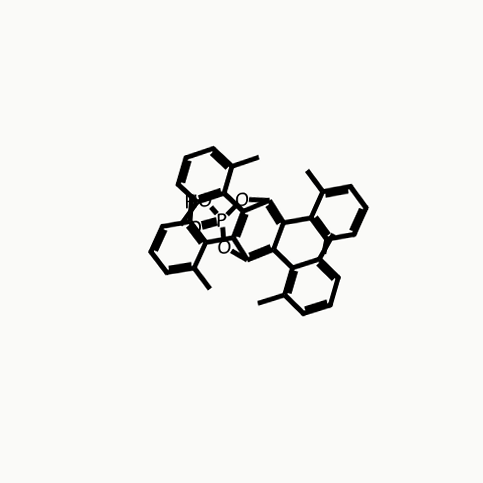 Cc1cccc(C)c1-c1c2c(-c3c(C)cccc3C)c(-c3c(C)cccc3C)c(c1-c1c(C)cccc1C)OP(=O)(O)O2